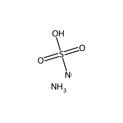 N.[N]S(=O)(=O)O